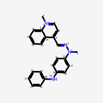 CN(/N=C/c1cc[n+](C)c2ccccc12)c1ccc(Nc2ccccc2)cc1